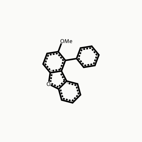 COc1ccc2oc3ccccc3c2c1-c1ccccc1